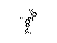 COCCn1cc2cc(NC(=O)c3cccc(C(F)(F)F)n3)c(C=O)cc2n1